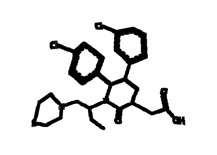 CCC(CN1CCSCC1)N1C(=O)C(CC(=O)O)CC(c2cccc(Cl)c2)C1c1ccc(Cl)cc1